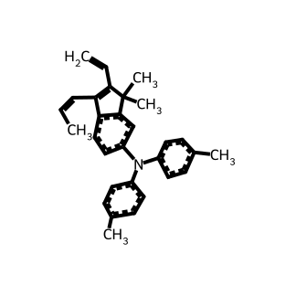 C=CC1=C(/C=C\C)c2ccc(N(c3ccc(C)cc3)c3ccc(C)cc3)cc2C1(C)C